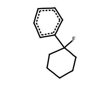 FC1(c2ccccc2)CCCCC1